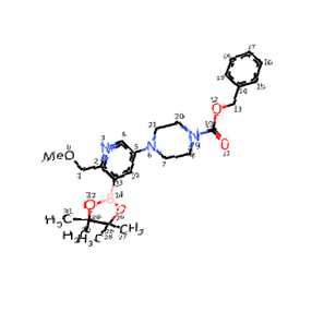 COCc1ncc(N2CCN(C(=O)OCc3ccccc3)CC2)cc1B1OC(C)(C)C(C)(C)O1